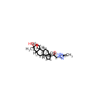 CCOC[C@]12CC[C@@](C)(O)C[C@@H]1CC[C@H]1[C@@H]3CC[C@H](C(=O)Cn4nc(C)[nH]4)[C@@]3(C)CC[C@@H]12